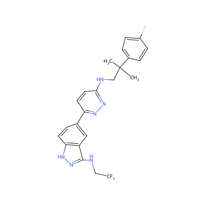 CC(C)(CNc1ccc(-c2ccc3[nH]nc(NCC(F)(F)F)c3c2)nn1)c1ccc(F)cc1